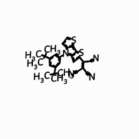 CC(C)(C)c1cc(-n2c3ccsc3c3sc(C(C#N)=C(C#N)C#N)cc32)cc(C(C)(C)C)c1